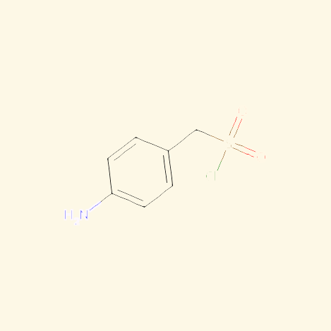 Nc1ccc(CS(=O)(=O)Cl)cc1